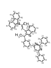 C/C(=C\c1c(C(C)c2cccc(-c3cc(-c4ccccc4)nc(-c4ccccc4)n3)c2)sc2ccccc12)n1c2ccccc2c2ccccc21